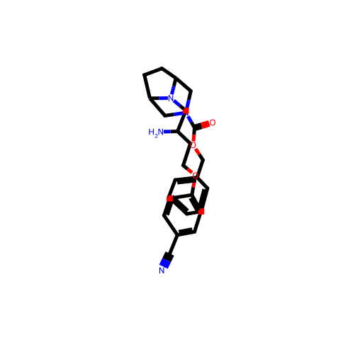 N#Cc1ccc(OCCC(N)CN2C3CCC2CN(C(=O)OCc2ccccc2)C3)cc1